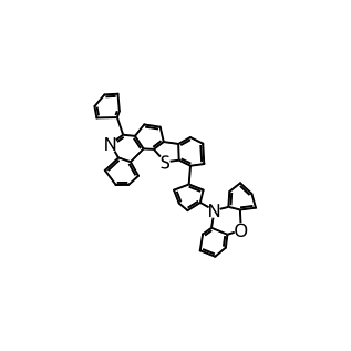 c1ccc(-c2nc3ccccc3c3c2ccc2c4cccc(-c5cccc(N6c7ccccc7Oc7ccccc76)c5)c4sc23)cc1